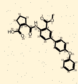 COC(=O)c1cc(-c2ccc(Oc3ccccc3)cc2)ccc1NC(=O)C1=C(C(=O)O)CCC1